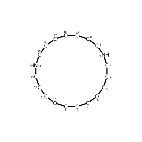 C1CNCCCOCCCOCCCNCCCOC1